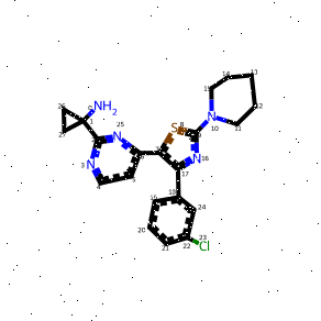 NC1(c2nccc(-c3sc(N4CCCCC4)nc3-c3cccc(Cl)c3)n2)CC1